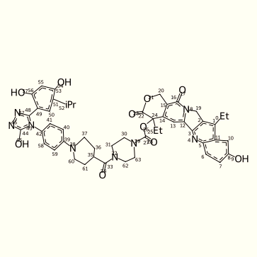 CCc1c2c(nc3ccc(O)cc13)-c1cc3c(c(=O)n1C2)COC(=O)C3(CC)OC(=O)N1CCN(C(=O)C2CCN(c3ccc(-n4c(O)nnc4-c4cc(C(C)C)c(O)cc4O)cc3)CC2)CC1